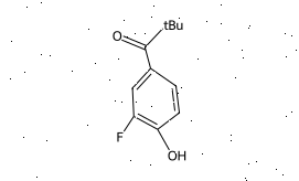 CC(C)(C)C(=O)c1ccc(O)c(F)c1